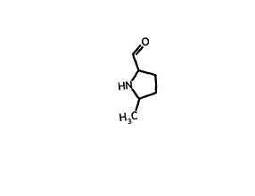 CC1CCC(C=O)N1